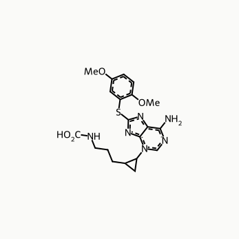 COc1ccc(OC)c(Sc2nc3c(N)ncn(C4CC4CCCNC(=O)O)c-3n2)c1